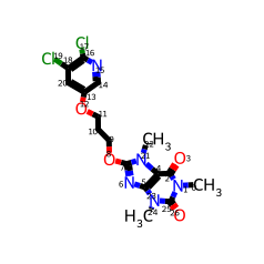 Cn1c(=O)c2c(nc(OCCCOc3cnc(Cl)c(Cl)c3)n2C)n(C)c1=O